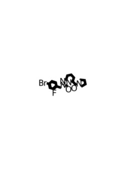 O=C(C1CCCc2nn(Cc3ccc(Br)cc3F)c(=O)n21)N1CCCC1